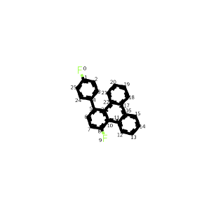 Fc1ccc(-c2ccc(F)c3c4ccccc4c4ccccc4c23)cc1